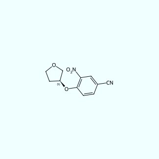 N#Cc1ccc(O[C@H]2CCOC2)c([N+](=O)[O-])c1